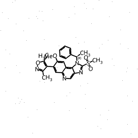 COc1cc2c(cc1-c1c(C)noc1C)ncc1nc(S(C)(=O)=O)n([C@H](C)c3ccccc3)c12